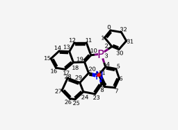 C1=CC(P(c2ccccc2)c2ccc3ccccc3c2-c2nccc3ccccc23)=CCC1